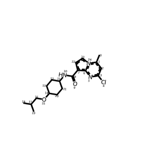 Cc1cc(Cl)nc2c(C(=O)NC3CCC(OCC(C)C)CC3)ccn12